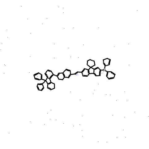 C1=CC(N(c2ccccc2)c2ccc3c(c2)C2(CCCCC2)c2cc(/C=C/c4ccc5c(c4)CCC(c4cccc6c4C4=C(C=CCC4)C6(c4ccccc4)c4ccccc4)=C5)ccc2-3)=CCC1